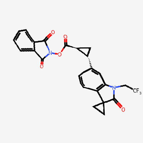 O=C(ON1C(=O)c2ccccc2C1=O)[C@H]1C[C@@H]1c1ccc2c(c1)N(CC(F)(F)F)C(=O)C21CC1